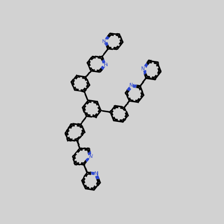 c1ccc(-c2ccc(-c3cccc(-c4cc(-c5cccc(-c6ccc(-c7ccccn7)nc6)c5)cc(-c5cccc(-c6ccc(-c7ccccn7)nc6)c5)c4)c3)cn2)nc1